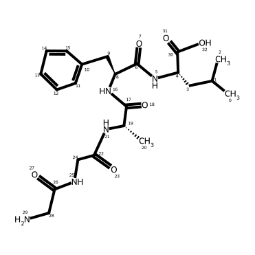 CC(C)C[C@H](NC(=O)[C@H](Cc1ccccc1)NC(=O)[C@H](C)NC(=O)CNC(=O)CN)C(=O)O